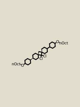 CCCCCCCCOC1CCC(C2CC[C@]3(CC2)C[C@@]2(CC[C@H](C4CCC(OCCCCCCCC)CC4)CC2)C3(Cl)Cl)CC1